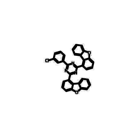 Clc1cccc(-c2nc(-c3cccc4oc5ccccc5c34)nc(-c3cccc4oc5ccccc5c34)n2)c1